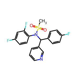 CS(=O)(=O)N(c1ccc(F)cc1F)C(c1ccc(F)cc1)c1cccnc1